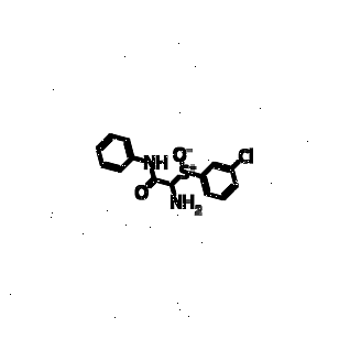 NC(C(=O)Nc1ccccc1)[S+]([O-])c1cccc(Cl)c1